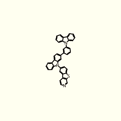 c1cc(-c2ccc3c4ccccc4n(-c4ccc5sc6cnccc6c5c4)c3c2)cc(-n2c3ccccc3c3ccccc32)c1